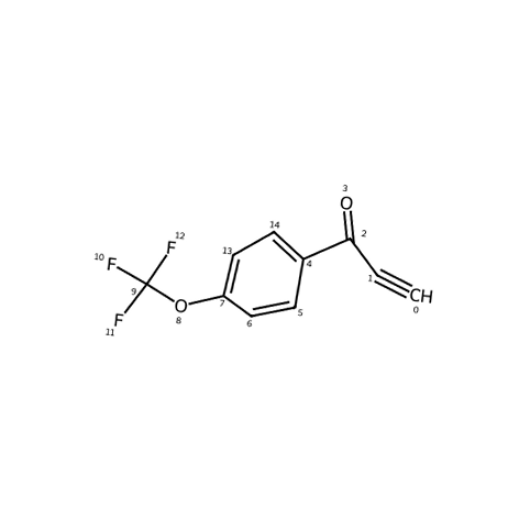 C#CC(=O)c1ccc(OC(F)(F)F)cc1